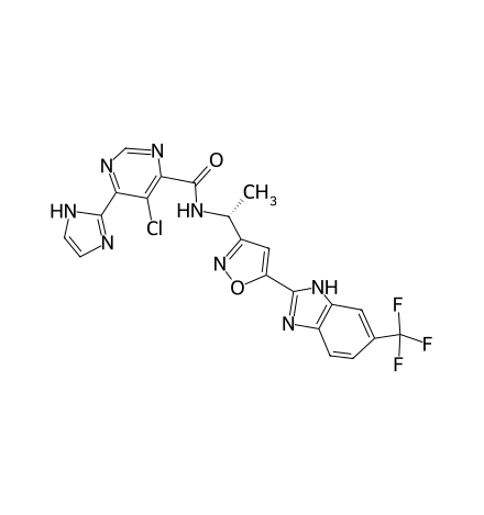 C[C@@H](NC(=O)c1ncnc(-c2ncc[nH]2)c1Cl)c1cc(-c2nc3ccc(C(F)(F)F)cc3[nH]2)on1